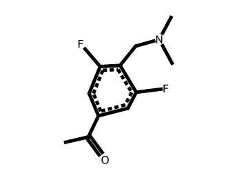 CC(=O)c1cc(F)c(CN(C)C)c(F)c1